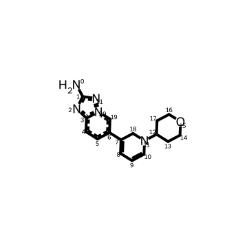 Nc1nc2ccc(C3=CC=CN(C4CCOCC4)C3)cn2n1